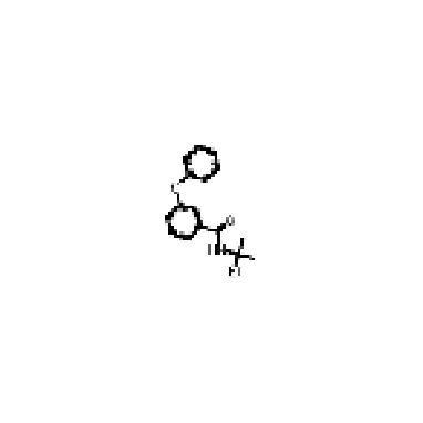 CCC(C)(C)NC(=O)c1cccc(Oc2ccccc2)c1